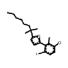 CCCCCCC(C)(C)c1ccc(-c2c(Cl)ccc(Cl)c2C)o1